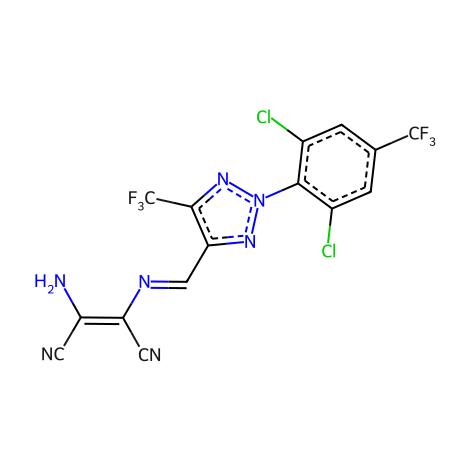 N#C/C(N)=C(C#N)/N=C/c1nn(-c2c(Cl)cc(C(F)(F)F)cc2Cl)nc1C(F)(F)F